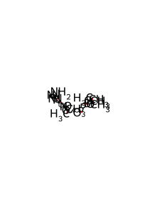 CC(C)(CC1CC1Oc1ccc2cc(B3OC(C)(C)C(C)(C)O3)ccc2c1)OC(=O)N1CCC(Cn2nc(I)c3c(N)ncnc32)CC1